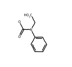 [O]C(=O)N(CC(=O)O)c1ccccc1